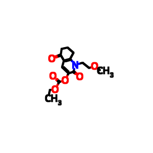 CCOC(=O)Oc1cc2c(n(CCOC)c1=O)CCCC2=O